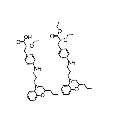 CCCC1CN(CCCNc2ccc(CC(OCC)C(=O)O)cc2)c2ccccc2O1.CCCC1CN(CCCNc2ccc(CC(OCC)C(=O)OCC)cc2)c2ccccc2O1